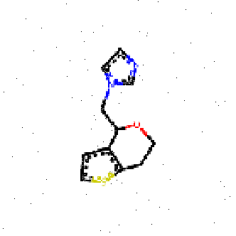 c1cn(CC2OCCc3sccc32)cn1